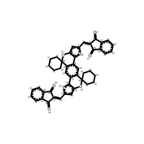 O=C1C(=Cc2cc3c(s2)-c2cc4c(cc2C2(CCCCC2)O3)-c2sc(C=C3C(=O)c5ccccc5C3=O)cc2OC42CCCCC2)C(=O)c2ccccc21